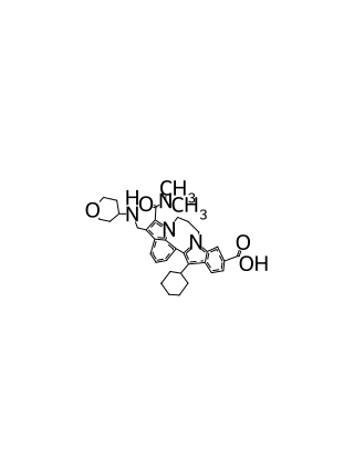 CN(C)C(=O)c1c(CNC2CCOCC2)c2cccc3c2n1CCCn1c-3c(C2CCCCC2)c2ccc(C(=O)O)cc21